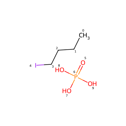 CCCCI.O=P(O)(O)O